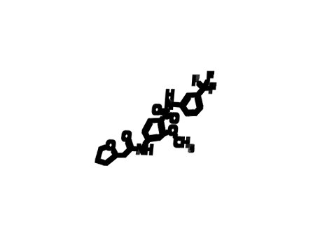 COc1cc(NC(=O)CC2CCCO2)ccc1S(=O)(=O)Nc1cccc(C(F)(F)F)c1